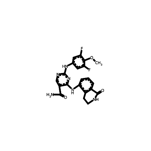 COc1c(F)cc(Nc2ncc(C(N)=O)c(Nc3cccc4c3CCNC4=O)n2)cc1F